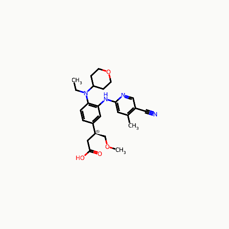 CCN(c1ccc([C@@H](COC)CC(=O)O)cc1Nc1cc(C)c(C#N)cn1)C1CCOCC1